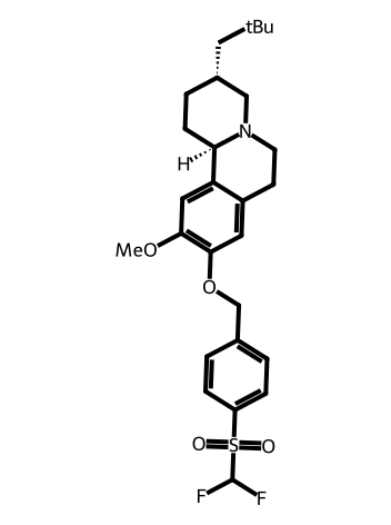 COc1cc2c(cc1OCc1ccc(S(=O)(=O)C(F)F)cc1)CCN1C[C@@H](CC(C)(C)C)CC[C@H]21